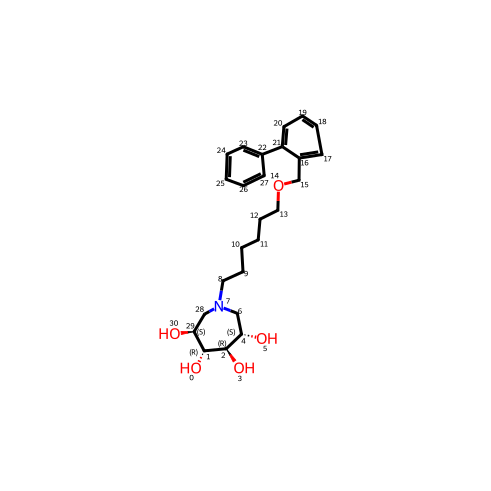 O[C@H]1[C@H](O)[C@@H](O)CN(CCCCCCOCc2ccccc2-c2ccccc2)C[C@@H]1O